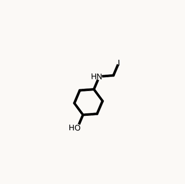 OC1CCC(NCI)CC1